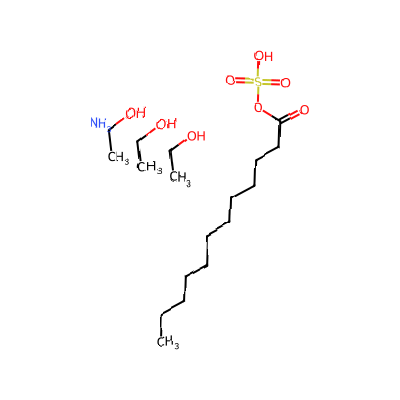 CCCCCCCCCCCC(=O)OS(=O)(=O)O.CCO.CCO.CCO.N